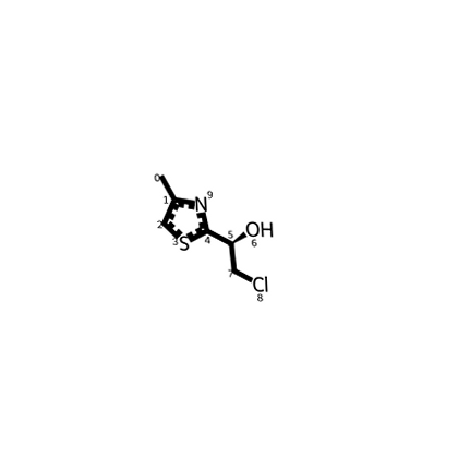 Cc1csc([C@@H](O)CCl)n1